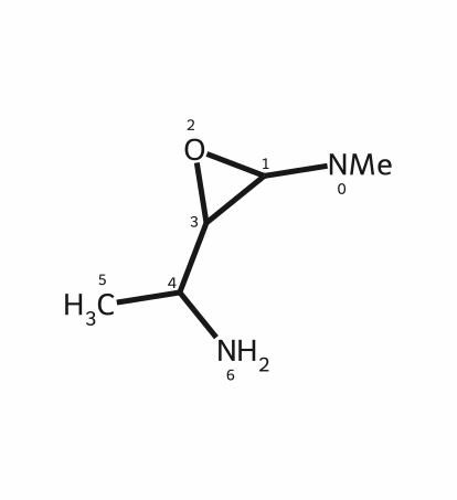 CNC1OC1C(C)N